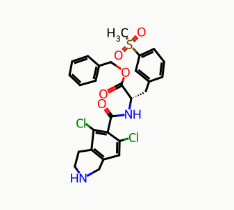 CS(=O)(=O)c1cccc(C[C@H](NC(=O)c2c(Cl)cc3c(c2Cl)CCNC3)C(=O)OCc2ccccc2)c1